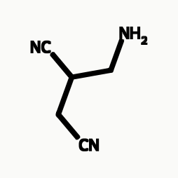 N#CCC(C#N)CN